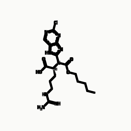 CCCCCOC(=O)N(c1nc2nc(Cl)ncc2[nH]1)[C@H](CCCNC(=N)N)C(=O)O